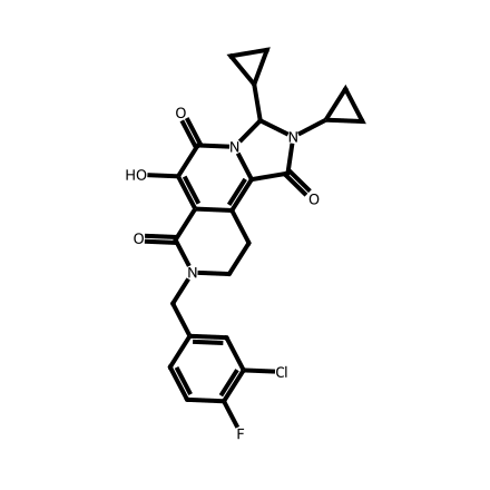 O=C1c2c(c3n(c(=O)c2O)C(C2CC2)N(C2CC2)C3=O)CCN1Cc1ccc(F)c(Cl)c1